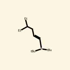 CCC(CC)CC=CP(C(C)(C)C)C(C)(C)C